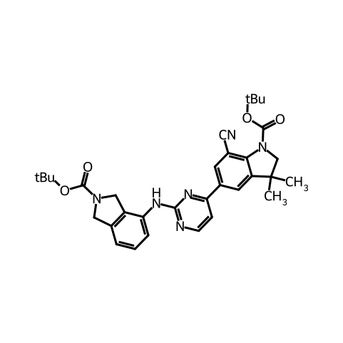 CC(C)(C)OC(=O)N1Cc2cccc(Nc3nccc(-c4cc(C#N)c5c(c4)C(C)(C)CN5C(=O)OC(C)(C)C)n3)c2C1